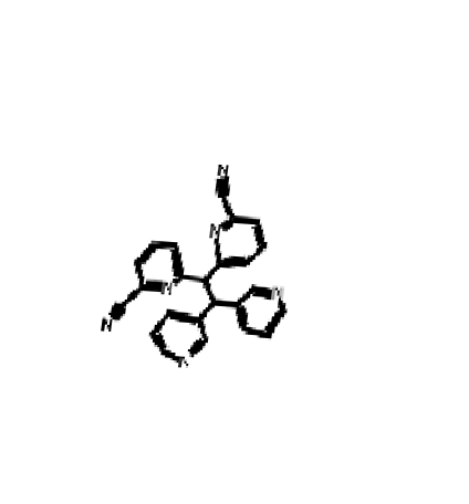 N#Cc1cccc(C(c2cccc(C#N)n2)C(c2cccnc2)c2cccnc2)n1